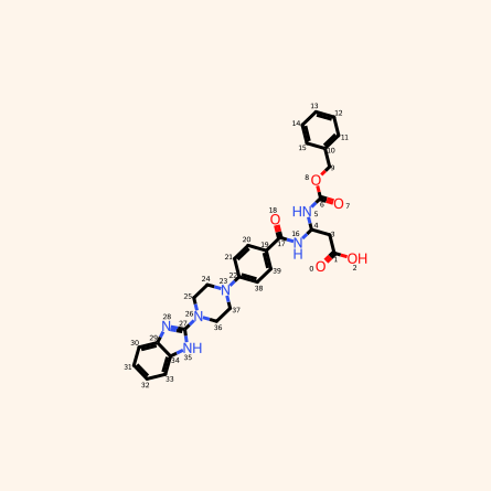 O=C(O)CC(NC(=O)OCc1ccccc1)NC(=O)c1ccc(N2CCN(c3nc4ccccc4[nH]3)CC2)cc1